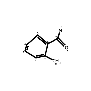 Cc1ccccc1C([N])=O